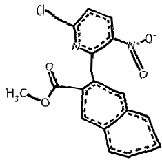 COC(=O)c1cc2ccccc2cc1-c1nc(Cl)ccc1[N+](=O)[O-]